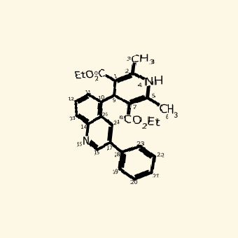 CCOC(=O)C1=C(C)NC(C)=C(C(=O)OCC)C1c1cccc2ncc(-c3ccccc3)cc12